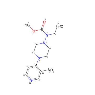 CC(C)(C)OC(=O)N(CC=O)N1CCN(c2ccncc2[N+](=O)[O-])CC1